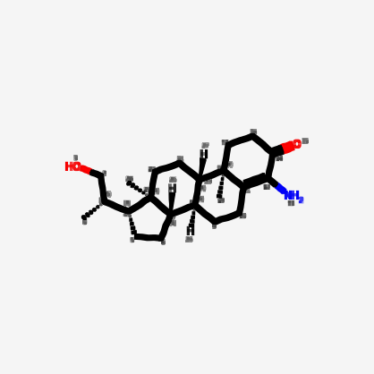 C[C@H](CO)[C@H]1CC[C@H]2[C@@H]3CCC4=C(N)C(=O)CC[C@]4(C)[C@H]3CC[C@]12C